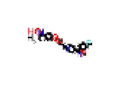 C/C(=N\O)c1ccc(OCOCCCN2CCC(c3noc4cc(F)ccc34)CC2)cc1